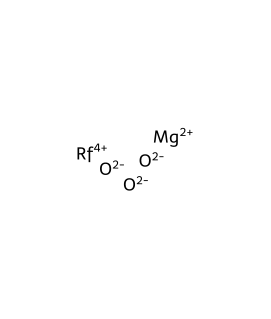 [Mg+2].[O-2].[O-2].[O-2].[Rf+4]